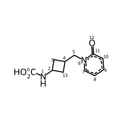 O=C(O)NC1CC(Cn2ccccc2=O)C1